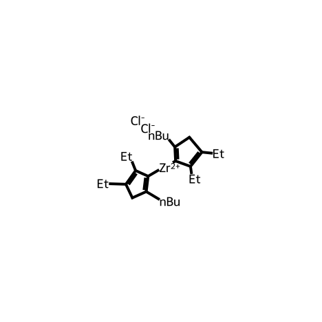 CCCCC1=[C]([Zr+2][C]2=C(CCCC)CC(CC)=C2CC)C(CC)=C(CC)C1.[Cl-].[Cl-]